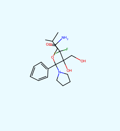 CC(C)COC(c1ccccc1)(N1CCCC1)C(O)(CO)C(F)(F)C(N)=O